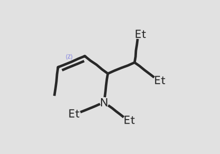 C/C=C\C(C(CC)CC)N(CC)CC